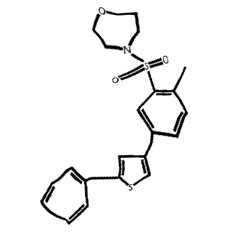 Cc1ccc(-c2csc(-c3ccccc3)c2)cc1S(=O)(=O)N1CCOCC1